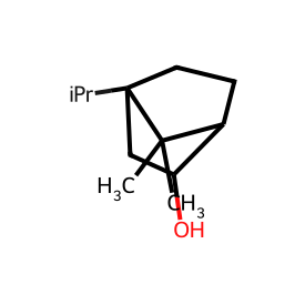 CC(C)C12CCC(C(O)C1)C2(C)C